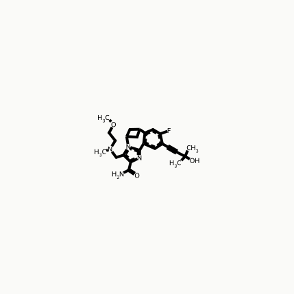 COCCN(C)Cc1c(C(N)=O)nc2n1C1CC(C1)c1cc(F)c(C#CC(C)(C)O)cc1-2